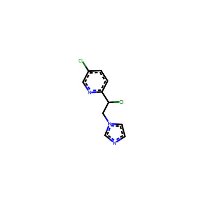 Clc1ccc(C(Cl)Cn2ccnc2)nc1